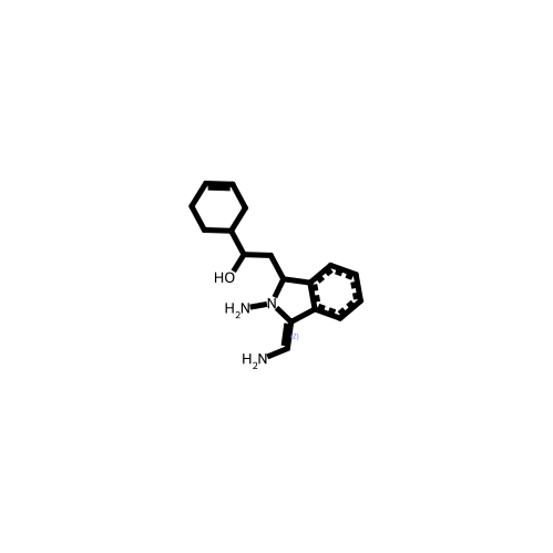 N/C=C1/c2ccccc2C(CC(O)C2CC=CCC2)N1N